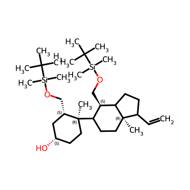 C=CC1CCC2[C@H](CO[Si](C)(C)C(C)(C)C)C([C@@]3(C)CC[C@H](O)C[C@@H]3CO[Si](C)(C)C(C)(C)C)CC[C@]12C